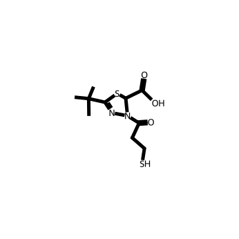 CC(C)(C)C1=NN(C(=O)CCS)C(C(=O)O)S1